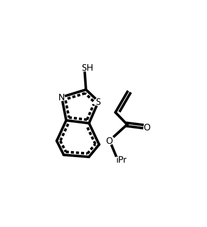 C=CC(=O)OC(C)C.Sc1nc2ccccc2s1